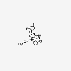 COCCNc1nc(Oc2ccc(F)cc2F)nc2[nH]nc(-c3ccccc3Cl)c12